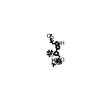 COC(=O)[C@H](Cc1cc(O[Si](C(C)C)(C(C)C)C(C)C)cc(-c2ccc3[nH]cc(CC(C)(C)COC(C)=O)c3c2)c1)NC(=O)OC(C)(C)C